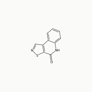 O=c1[nH]c2ccccc2c2cnsc12